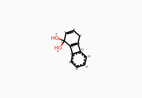 OC1(O)C=CCC2=C1c1ccccc12